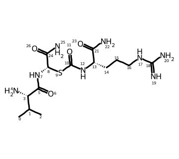 CC(C)[C@H](N)C(=O)N[C@@H](SC(=O)N[C@@H](CCCNC(=N)N)C(N)=O)C(N)=O